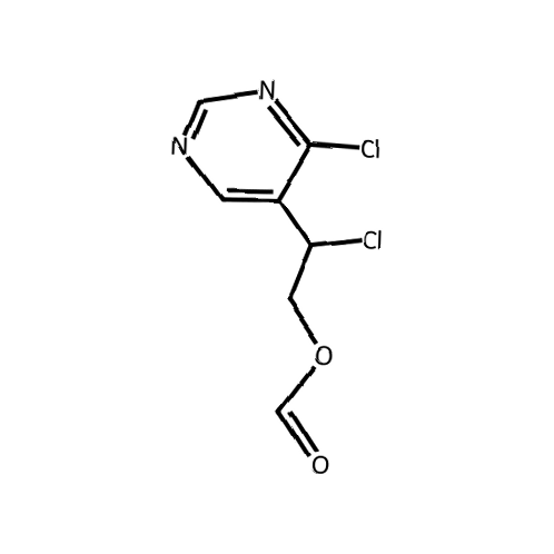 O=COCC(Cl)c1cncnc1Cl